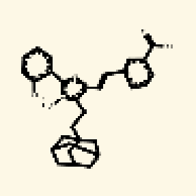 Cc1ccccc1-c1nc(C=Cc2cccc(C(=O)O)c2)c(CCC23CC4CC(CC(C4)C2)C3)n1C